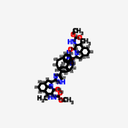 COC(=O)N[C@@H]1C(=O)N2C3C(CCCC3C1C)C[C@H]2c1nc(-c2cc3c(-c4c[nH]c([C@@H]5CC6CCCC7C(C)[C@H](NC(=O)OC)C(=O)N5C67)n4)cc2CCc2ccc(cc2)CC3)c[nH]1